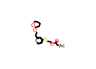 CC(=O)CC(=O)OCCSc1cccc(CCOC2CCCCO2)c1